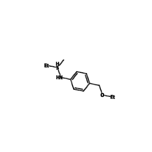 CCOCc1ccc(N[SH](C)CC)cc1